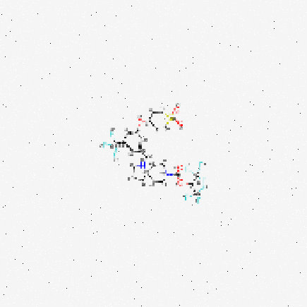 O=C(OC(C(F)(F)F)C(F)(F)F)N1CCC2(CCCN2Cc2cc(OC3CCS(=O)(=O)CC3)cc(C(F)(F)F)c2)CC1